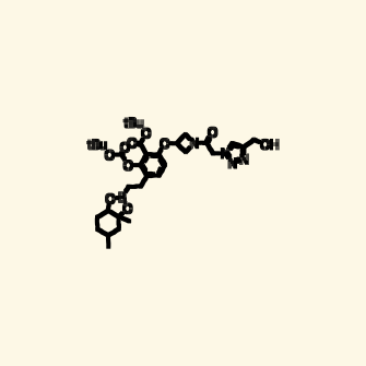 CC1CCC2OB(CCc3ccc(OC4CN(C(=O)Cn5cc(CO)nn5)C4)c(C(=O)OC(C)(C)C)c3OC(=O)OC(C)(C)C)OC2(C)C1